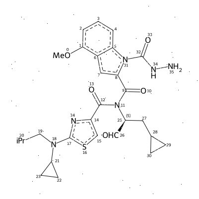 COc1cccc2c1cc(C(=O)N(C(=O)c1csc(N(CC(C)C)C3CC3)n1)[C@H]([C]=O)CC1CC1)n2C(=O)NN